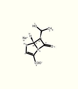 CC(O)[C@H]1C(=O)N2C(C(=O)[O-])=CS[C@H]12.[Na+]